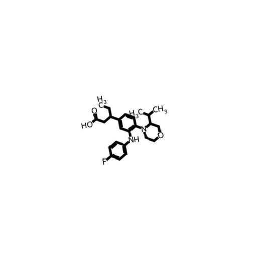 CCC(CC(=O)O)c1ccc(N2CCOCC2C(C)C)c(Nc2ccc(F)cc2)c1